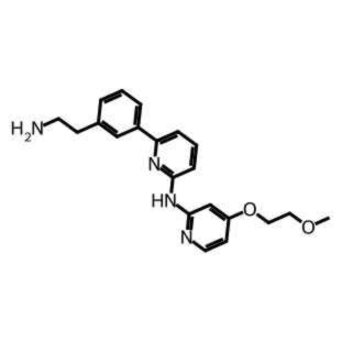 COCCOc1ccnc(Nc2cccc(-c3cccc(CCN)c3)n2)c1